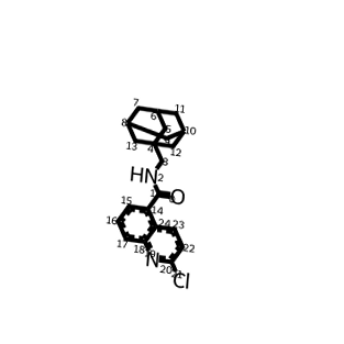 O=C(NCC12CC3CC(CC(C3)C1)C2)c1cccc2nc(Cl)ccc12